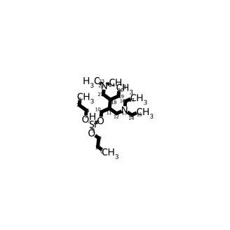 CCCO[SiH](OCCC)OCC(CN(CC)CC)C(CC)CN(C)C